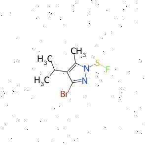 Cc1c(C(C)C)c(Br)nn1SF